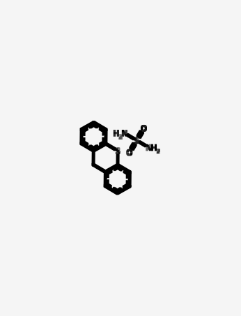 NS(N)(=O)=O.c1ccc2c(c1)Cc1ccccc1S2